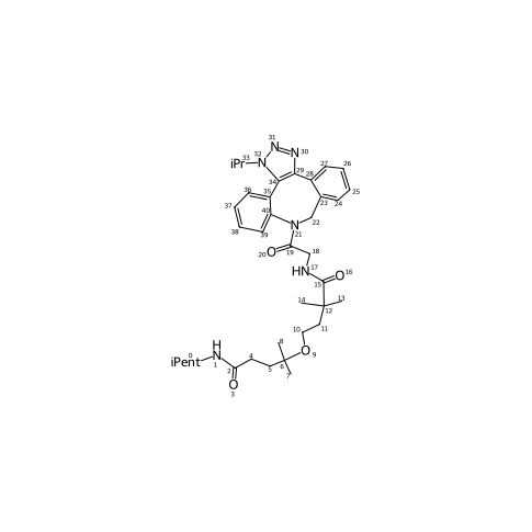 CCCC(C)NC(=O)CCC(C)(C)OCCC(C)(C)C(=O)NCC(=O)N1Cc2ccccc2-c2nnn(C(C)C)c2-c2ccccc21